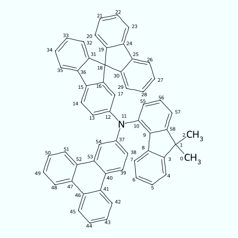 CC1(C)c2ccccc2-c2c(N(c3ccc4c(c3)C3(c5ccccc5-c5ccccc53)c3ccccc3-4)c3ccc4c5ccccc5c5ccccc5c4c3)cccc21